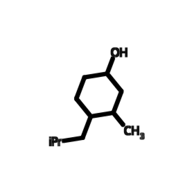 CC(C)CC1CCC(O)CC1C